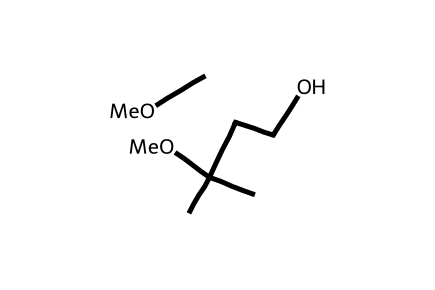 COC.COC(C)(C)CCO